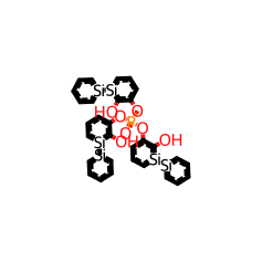 O=P(Oc1ccc[si](-[si]2ccccc2)c1O)(Oc1ccc[si](-[si]2ccccc2)c1O)Oc1ccc[si](-[si]2ccccc2)c1O